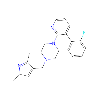 CC1=NC(C)C=C1CN1CCN(c2ncccc2-c2ccccc2F)CC1